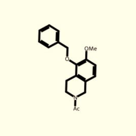 COc1ccc2c(c1OCc1ccccc1)CCN(C(C)=O)C2